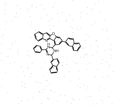 c1ccc(C2=NC(c3ccc4ccccc4c3)NC(c3cc(-c4ccc5ccccc5c4)cc4oc5cc6ccccc6nc5c34)N2)cc1